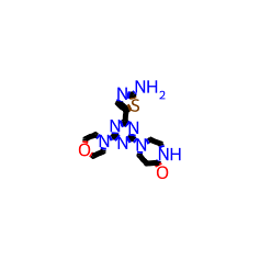 Nc1ncc(-c2nc(N3CCOCC3)nc(N3CCNC(=O)CC3)n2)s1